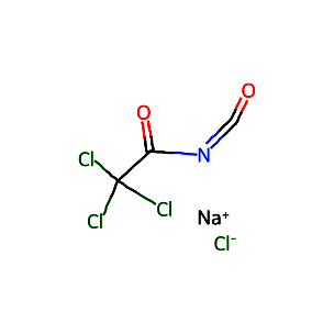 O=C=NC(=O)C(Cl)(Cl)Cl.[Cl-].[Na+]